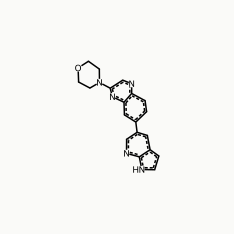 c1cc2cc(-c3ccc4ncc(N5CCOCC5)nc4c3)cnc2[nH]1